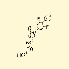 O=C(CCO)NC[C@H]1CN(c2cc(F)c(N3CCSCC3)c(F)c2)C(=O)O1